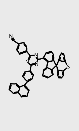 N#Cc1ccc(-c2nc(-c3ccc(-c4cccc5ccccc45)cc3)nc(-c3cccc4c3-c3ccccc3C43c4ccccc4Sc4ccccc43)n2)cc1